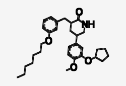 CCCCCCCOc1cccc(CC2CC(c3ccc(OC)c(OC4CCCC4)c3)CNC2=O)c1